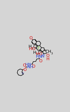 C[C@@H]1CC2C3CCC4=CC(=O)C=C[C@]4(C)[C@@]3(F)[C@@H](O)C[C@]2(C)[C@@]1(O)/C(CO)=N\NC(=O)CCCC(=O)NNC(=O)OC1/C=C/CCCCC1